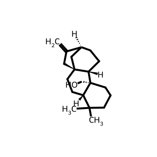 C=C1C[C@]23CC[C@H]4C(C)(C)CCC[C@]4(CO)[C@H]2CC[C@H]1C3